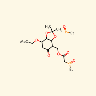 CCP=O.CC[P](=O)CC(=O)OCC1C(=O)CC(OCOC)C2OC(C)(C)OC12